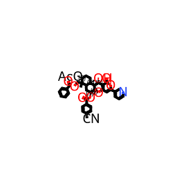 CC(=O)O[C@H]1CC[C@@]2(C)C(C[C@H](OC(=O)c3ccc(C#N)cc3)[C@@]3(C)Oc4cc(-c5cccnc5)oc(=O)c4[C@H](O)C23)C1(C)COC(=O)c1ccccc1